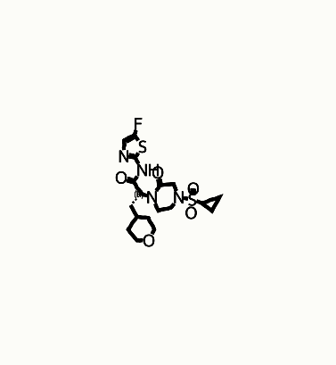 O=C(Nc1ncc(F)s1)[C@@H](CC1CCOCC1)N1CCN(S(=O)(=O)C2CC2)CC1=O